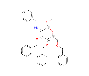 CO[C@@H]1O[C@H](COCc2ccccc2)[C@H](OCc2ccccc2)[C@H](OCc2ccccc2)[C@@H]1NCc1ccccc1